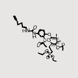 C#CCCCCNC(=O)Nc1ccc(O[C@H]2O[C@H](CCP(=O)(OCC)OCC)[C@@H](OC(C)=O)[C@H](C)[C@@H]2C)c(OC(C)=O)c1